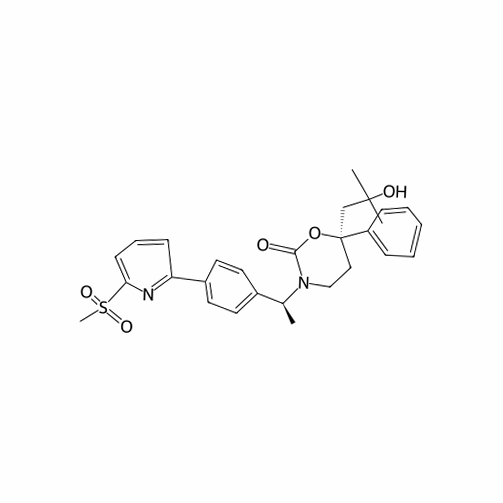 C[C@@H](c1ccc(-c2cccc(S(C)(=O)=O)n2)cc1)N1CC[C@](CC(C)(C)O)(c2ccccc2)OC1=O